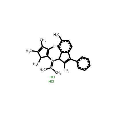 CC1=C(C)C(C)[C]([Zr]([CH]2C(C)=C(c3ccccc3)c3ccc(C)cc32)=[Si](C)C)=C1C.Cl.Cl